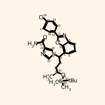 C[C@@H](CCC(c1cccc2nc(-c3ccc(Cl)cc3)oc12)n1cnc(C(N)=O)c1)O[Si](C)(C)C(C)(C)C